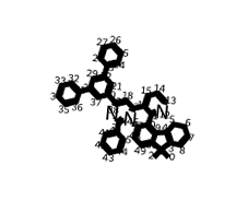 CC1(C)C2=C(CCC=C2)c2c(-c3ncccc3-c3cc(-c4cc(-c5ccccc5)cc(-c5ccccc5)c4)nc(-c4ccccc4)n3)cccc21